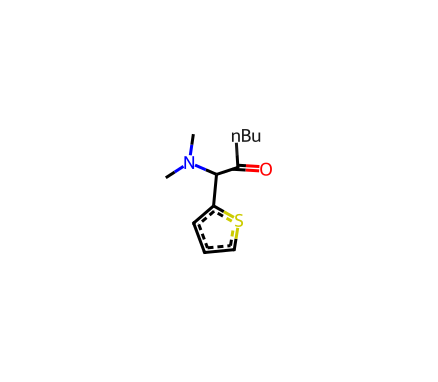 CCCCC(=O)C(c1cccs1)N(C)C